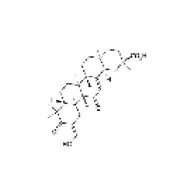 CC1(C)C(=O)/C(=C\O)C[C@]2(C)[C@H]3C(=O)C=C4[C@@H]5C[C@](C)(C(=O)O)CC[C@]5(C)CC[C@@]4(C)[C@]3(C)CC[C@@H]12